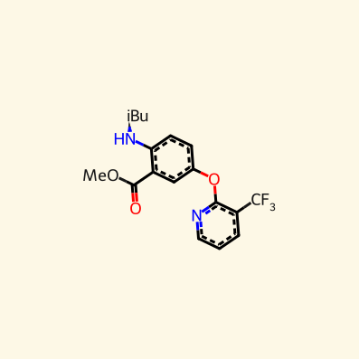 CC[C@H](C)Nc1ccc(Oc2ncccc2C(F)(F)F)cc1C(=O)OC